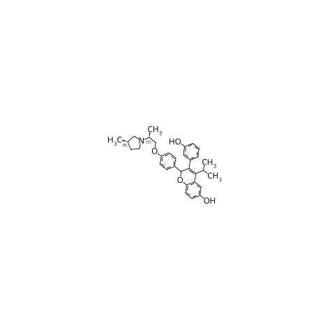 CC(C)C1=C(c2cccc(O)c2)C(c2ccc(OC[C@H](C)N3CC[C@@H](C)C3)cc2)Oc2ccc(O)cc21